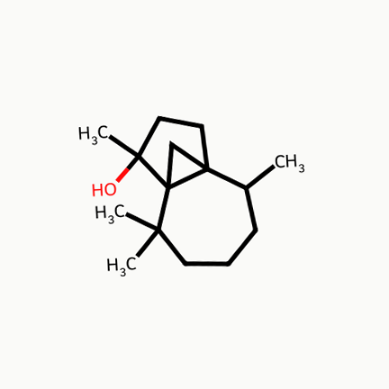 CC1CCCC(C)(C)C23CC12CCC3(C)O